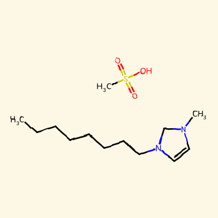 CCCCCCCCN1C=CN(C)C1.CS(=O)(=O)O